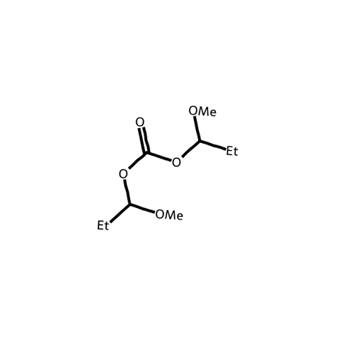 CCC(OC)OC(=O)OC(CC)OC